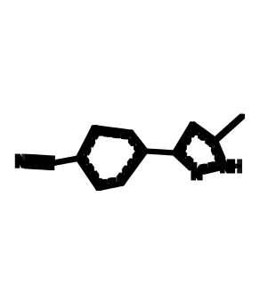 Cc1cc(-c2ccc(C#N)cc2)n[nH]1